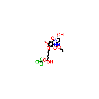 C=CCOC(=O)Nc1cc(OCCCCC[C@@H](O)OCC(Cl)(Cl)Cl)c(OC)cc1C(=O)N1CCC[C@H]1CO